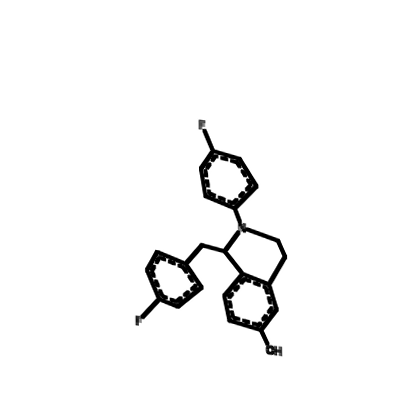 Oc1ccc2c(c1)CCN(c1ccc(F)cc1)C2Cc1ccc(F)cc1